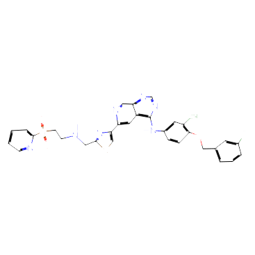 O=S(=O)(CCNCc1nc(-c2cc3c(Nc4ccc(OCc5cccc(F)c5)c(Br)c4)ncnc3cn2)cs1)c1ccccn1